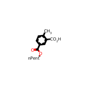 CCCCCOC(=O)c1ccc(C)c(C(=O)O)c1